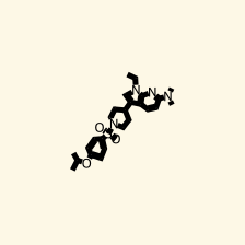 CCn1cc(C2CCN(S(=O)(=O)c3ccc(OC(C)C)cc3)CC2)c2ccc(N(C)C)nc21